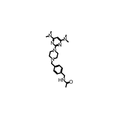 CC(=O)NCc1ccc(CN2CCN(c3nc(N(C)C)cc(N(C)C)n3)CC2)cc1